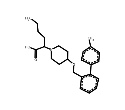 CCCCC(C(=O)O)N1CCC(OCc2ccccc2-c2ccc(C)cc2)CC1